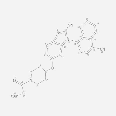 CCCc1nc2ccc(OC3CCN(C(=O)OC(C)(C)C)CC3)cc2n1-c1ccc(C#N)c2ccccc12